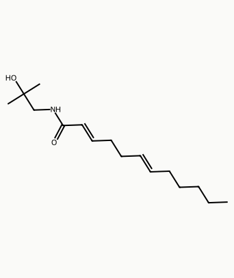 CCCCCC=CCCC=CC(=O)NCC(C)(C)O